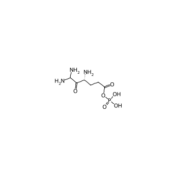 NC(N)C(=O)[C@H](N)CCC(=O)OP(=O)(O)O